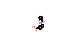 O=C(O)c1cc(F)c2c(c1)[C@H](NC(=O)c1ccccc1Cl)CC2